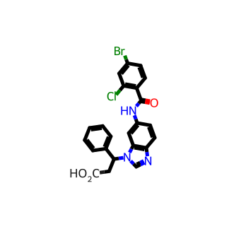 O=C(O)CC(c1ccccc1)n1cnc2ccc(NC(=O)c3ccc(Br)cc3Cl)cc21